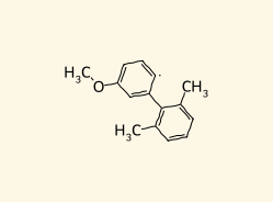 COc1cc[c]c(-c2c(C)cccc2C)c1